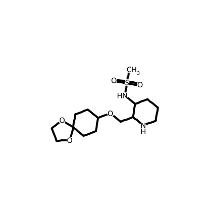 CS(=O)(=O)NC1CCCNC1COC1CCC2(CC1)OCCO2